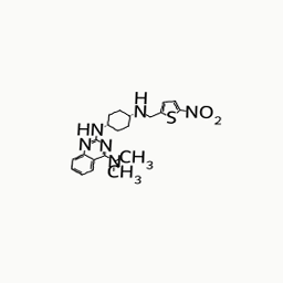 CN(C)c1nc(N[C@H]2CC[C@@H](NCc3ccc([N+](=O)[O-])s3)CC2)nc2ccccc12